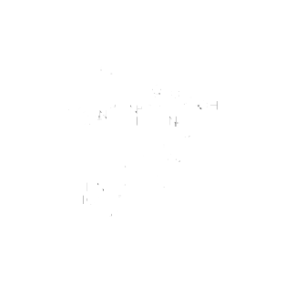 O=C(NO)c1ccc(OC2CC(C(=O)Nc3cccc4cccnc34)N(C(=O)O)C2)cc1